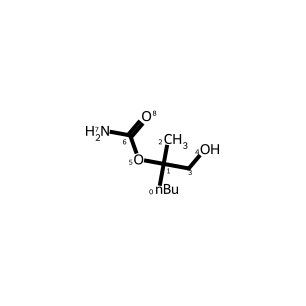 CCCCC(C)(CO)OC(N)=O